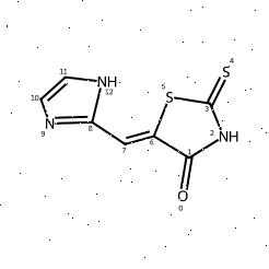 O=C1NC(=S)S/C1=C\c1ncc[nH]1